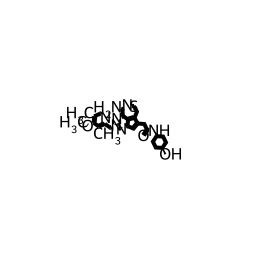 COc1c(C)cnc(Cn2nc3cc(CC(=O)N[C@H]4CC[C@H](O)CC4)c4c-3c(n2)C(N)=NSC4)c1C